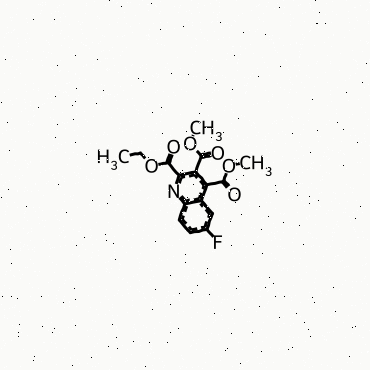 CCOC(=O)c1nc2ccc(F)cc2c(C(=O)OC)c1C(=O)OC